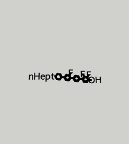 CCCCCCCC1CC=C(c2ccc(-c3ccc(-c4ccc(O)c(F)c4F)cc3)c(F)c2)CC1